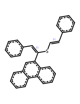 C(=C\c1ccccc1)/S/C(=C/c1ccccc1)c1cc2ccccc2c2ccccc12